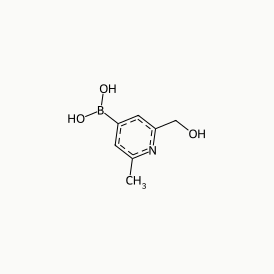 Cc1cc(B(O)O)cc(CO)n1